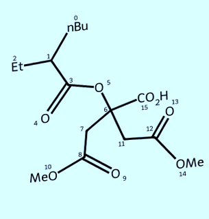 CCCCC(CC)C(=O)OC(CC(=O)OC)(CC(=O)OC)C(=O)O